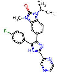 CC(C)n1c(=O)n(C)c2cc(-c3nc(-c4cnccn4)[nH]c3-c3ccc(F)cc3)ccc21